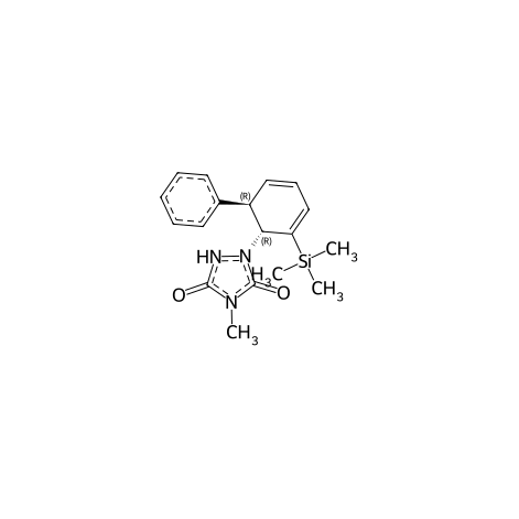 Cn1c(=O)[nH]n([C@H]2C([Si](C)(C)C)=CC=C[C@@H]2c2ccccc2)c1=O